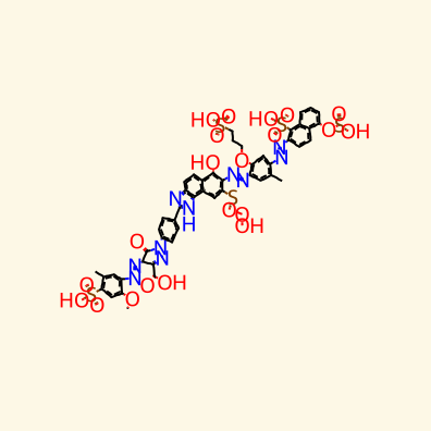 COc1cc(S(=O)(=O)O)c(C)cc1/N=N/C1C(=O)N(c2ccc(-c3nc4ccc5c(O)c(/N=N/c6cc(C)c(/N=N/c7ccc8c(OS(=O)O)cccc8c7S(=O)(=O)O)cc6OCCCS(=O)(=O)O)c(SOOO)cc5c4[nH]3)cc2)N=C1C(=O)O